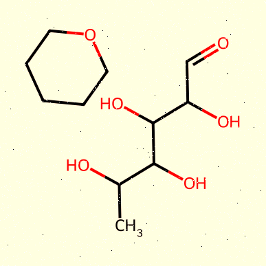 C1CCOCC1.CC(O)C(O)C(O)C(O)C=O